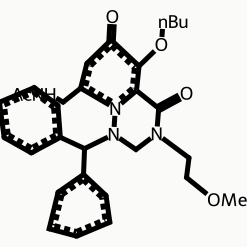 CCCCOc1c2n(c(CNC(C)=O)cc1=O)N(C(c1ccccc1)c1ccccc1)CN(CCOC)C2=O